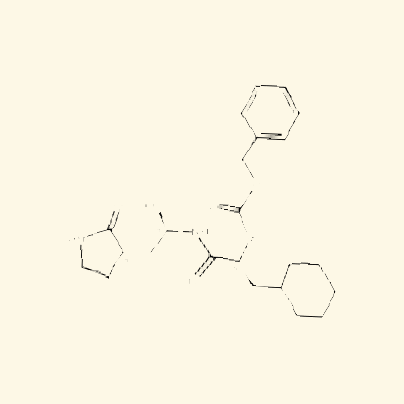 O=C[C@H](C[C@@H]1CCNC1=O)NC(=O)[C@H](CC1CCCCC1)NC(=O)OCc1ccccc1